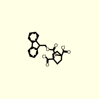 O=C(OCC1c2ccccc2-c2ccccc21)N1C2(C(=O)Cl)CCC1(C(=O)Cl)CC2